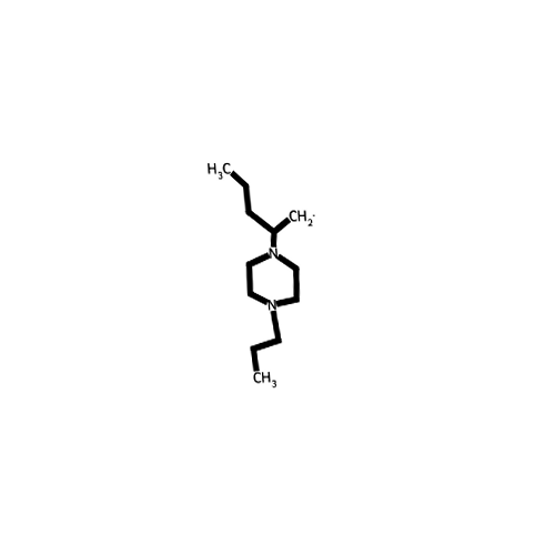 [CH2]C(CCC)N1CCN(CCC)CC1